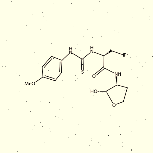 COc1ccc(NC(=S)N[C@@H](CC(C)C)C(=O)N[C@H]2CCOC2O)cc1